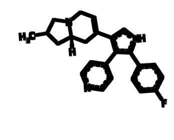 CC1C[C@H]2CC(c3c[nH]c(-c4ccc(F)cc4)c3-c3ccncc3)=CCN2C1